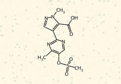 Cc1nc(-c2cnn(C)c2C(=O)O)ncc1OS(C)(=O)=O